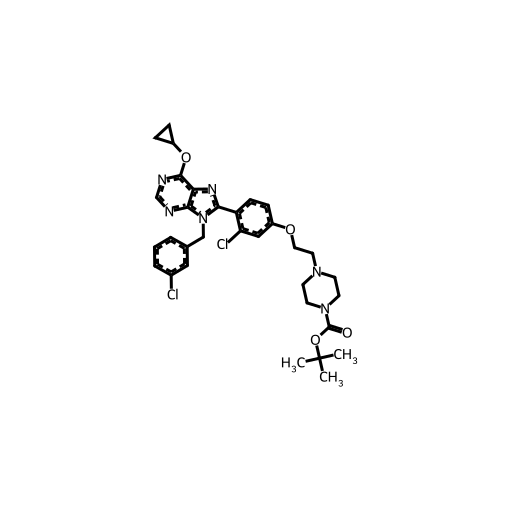 CC(C)(C)OC(=O)N1CCN(CCOc2ccc(-c3nc4c(OC5CC5)ncnc4n3Cc3cccc(Cl)c3)c(Cl)c2)CC1